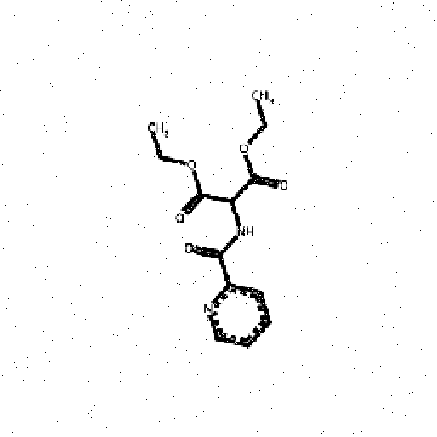 CCOC(=O)C(NC(=O)c1ccccn1)C(=O)OCC